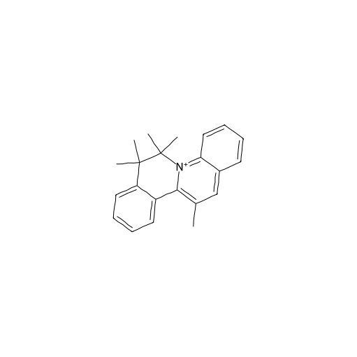 Cc1cc2ccccc2[n+]2c1-c1ccccc1C(C)(C)C2(C)C